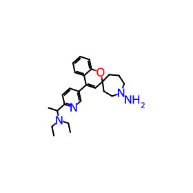 CCN(CC)C(C)c1ccc(C2=CC3(CCCN(N)CC3)Oc3ccccc32)cn1